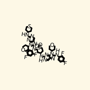 O=S1(=O)CCC(Nc2ncc3nc(Nc4ccc(F)cc4F)n(C4CCOCC4)c3n2)CC1N(c1ccc(F)cc1F)c1nc2cnc(NC3CCSCC3)nc2n1C1CCOCC1